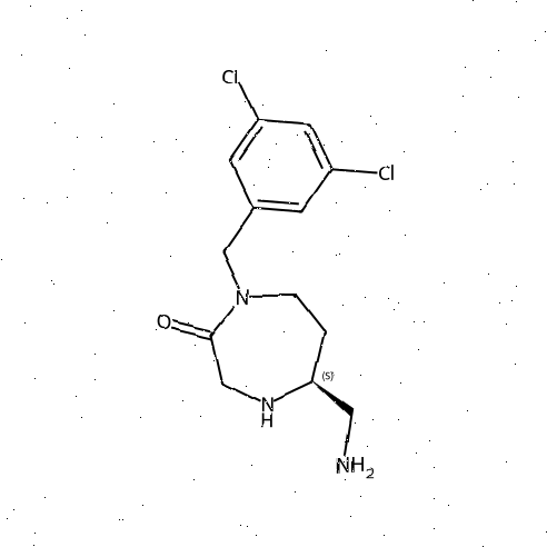 NC[C@@H]1CCN(Cc2cc(Cl)cc(Cl)c2)C(=O)CN1